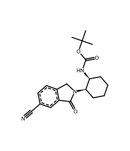 CC(C)(C)OC(=O)N[C@H]1CCCC[C@H]1N1Cc2ccc(C#N)cc2C1=O